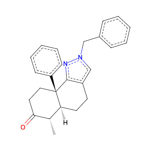 C[C@@H]1C(=O)CC[C@]2(c3ccccc3)c3nn(Cc4ccccc4)cc3CC[C@@H]12